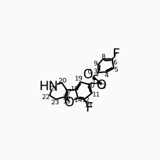 O=S(=O)(c1ccc(F)cc1)c1cc(F)c2oc3c(c2c1)CNCC3